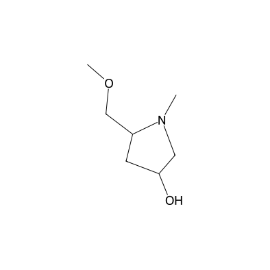 COCC1CC(O)CN1C